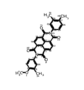 COc1ccc(N2C(=O)c3ccc4c5c(ccc(c35)C2=O)C(=O)N(c2ccc(C)c(C)c2)C4=O)cc1C